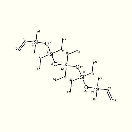 C=C[Si](C)(C)O[Si](CC)(CC)O[Si](CC)(CC)O[Si](CC)(CC)O[Si](C)(C)C=C